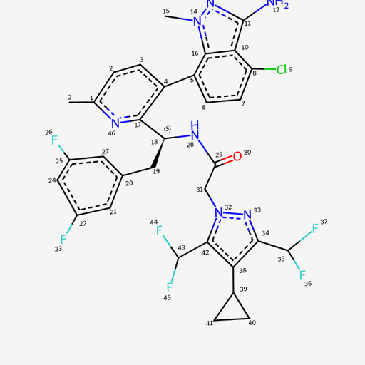 Cc1ccc(-c2ccc(Cl)c3c(N)nn(C)c23)c([C@H](Cc2cc(F)cc(F)c2)NC(=O)Cn2nc(C(F)F)c(C3CC3)c2C(F)F)n1